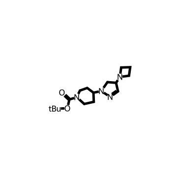 CC(C)(C)OC(=O)N1CCC(N2CC(N3CCC3)C=N2)CC1